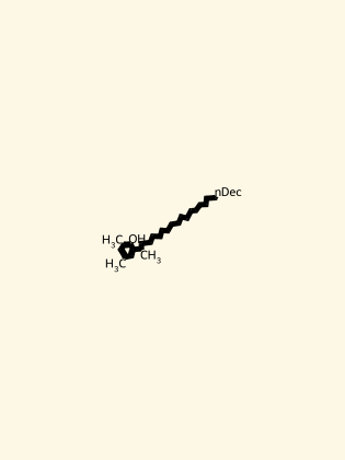 CCCCCCCCCCCCCCCCCCCCCCCCCCC(C)c1cc(C)cc(C)c1O